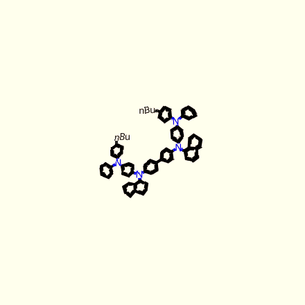 CCCCc1ccc(N(c2ccccc2)c2ccc(N(c3ccc(-c4ccc(N(c5ccc(N(c6ccccc6)c6ccc(CCCC)cc6)cc5)c5cccc6ccccc56)cc4)cc3)c3cccc4ccccc34)cc2)cc1